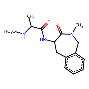 CC(NC(=O)O)C(=O)NC1Cc2ccccc2CN(C)C1=O